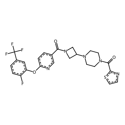 O=C(c1ccc(Oc2cc(C(F)(F)F)ccc2F)nc1)N1CC(N2CCN(C(=O)c3nccs3)CC2)C1